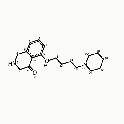 O=C1CNCc2cccc(OCCCCN3CCCCC3)c21